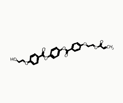 C=CC(=O)OCCOc1ccc(C(=O)Oc2ccc(OC(=O)c3ccc(OCCO)cc3)cc2)cc1